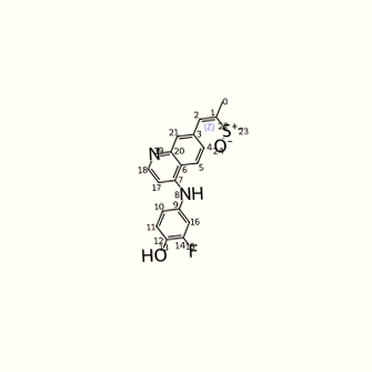 C/C(=C/c1ccc2c(Nc3ccc(O)c(F)c3)ccnc2c1)[S+](C)[O-]